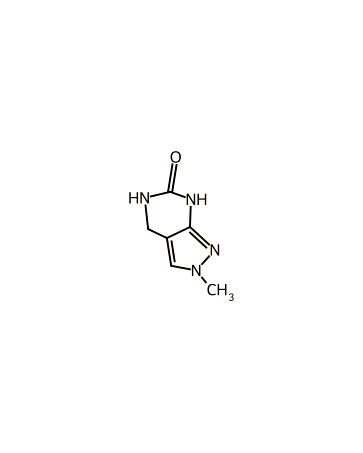 Cn1cc2c(n1)NC(=O)NC2